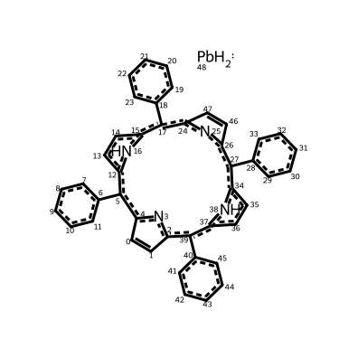 C1=Cc2nc1c(-c1ccccc1)c1ccc([nH]1)c(-c1ccccc1)c1nc(c(-c3ccccc3)c3ccc([nH]3)c2-c2ccccc2)C=C1.[PbH2]